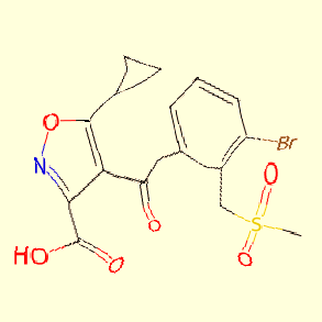 CS(=O)(=O)Cc1c(Br)cccc1C(=O)c1c(C(=O)O)noc1C1CC1